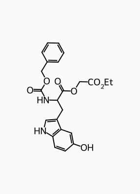 CCOC(=O)COC(=O)C(Cc1c[nH]c2ccc(O)cc12)NC(=O)OCc1ccccc1